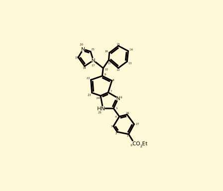 CCOC(=O)c1ccc(-c2nc3cc(C(c4ccccc4)n4ccnc4)ccc3[nH]2)cc1